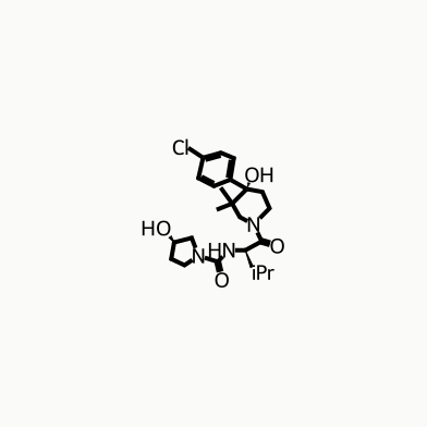 CC(C)[C@@H](NC(=O)N1CC[C@@H](O)C1)C(=O)N1CC[C@](O)(c2ccc(Cl)cc2)C(C)(C)C1